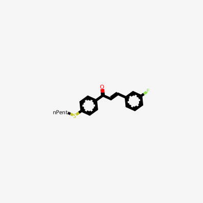 CCCCCSc1ccc(C(=O)C=Cc2cccc(F)c2)cc1